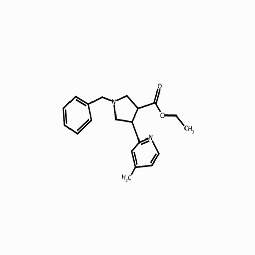 CCOC(=O)C1CN(Cc2ccccc2)CC1c1cc(C)ccn1